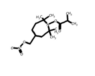 CC(C)C(=O)ON1C(C)(C)CCC(CO[N+](=O)[O-])CC1(C)C